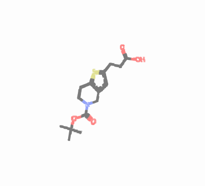 CC(C)(C)OC(=O)N1CCc2sc(CCC(=O)O)cc2C1